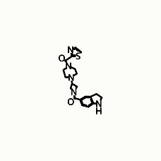 O=C(c1ccc2c(c1)CCN2)N1CC(N2CCN(C(=O)c3nccs3)CC2)C1